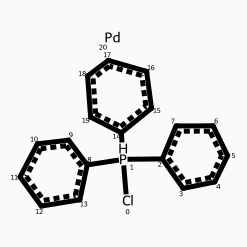 Cl[PH](c1ccccc1)(c1ccccc1)c1ccccc1.[Pd]